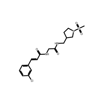 CS(=O)(=O)N1CCC(CNC(=O)CNC(=O)/C=C/c2cccc(Cl)c2)C1